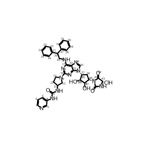 Cl.O=C(Nc1cccnc1)NC1CCN(c2nc(NCC(c3ccccc3)c3ccccc3)c3ncn([C@@H]4C[C@H](N5C(=O)CNC5=O)[C@@H](O)[C@H]4O)c3n2)C1